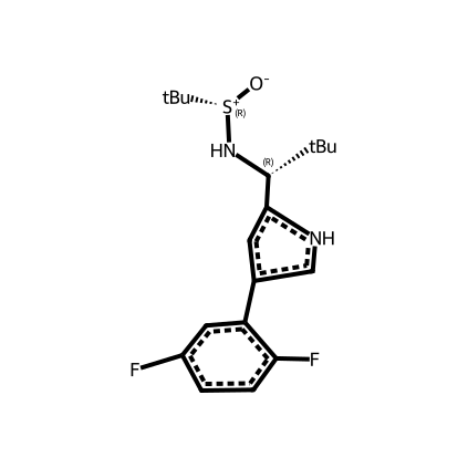 CC(C)(C)[C@@H](N[S@@+]([O-])C(C)(C)C)c1cc(-c2cc(F)ccc2F)c[nH]1